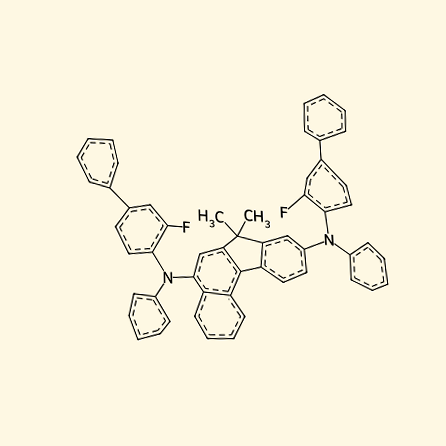 CC1(C)c2cc(N(c3ccccc3)c3ccc(-c4ccccc4)cc3F)ccc2-c2c1cc(N(c1ccccc1)c1ccc(-c3ccccc3)cc1F)c1ccccc21